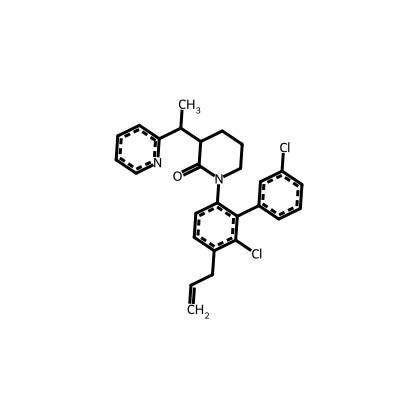 C=CCc1ccc(N2CCCC(C(C)c3ccccn3)C2=O)c(-c2cccc(Cl)c2)c1Cl